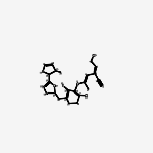 C#CC(=C/CCl)/C=C(\C)OC1=C(Cl)CCC(Cc2nnc(C3SC=CC3C)o2)=C1F